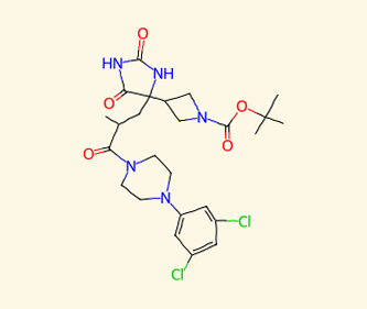 CC(CC1(C2CN(C(=O)OC(C)(C)C)C2)NC(=O)NC1=O)C(=O)N1CCN(c2cc(Cl)cc(Cl)c2)CC1